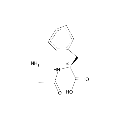 CC(=O)N[C@@H](Cc1ccccc1)C(=O)O.N